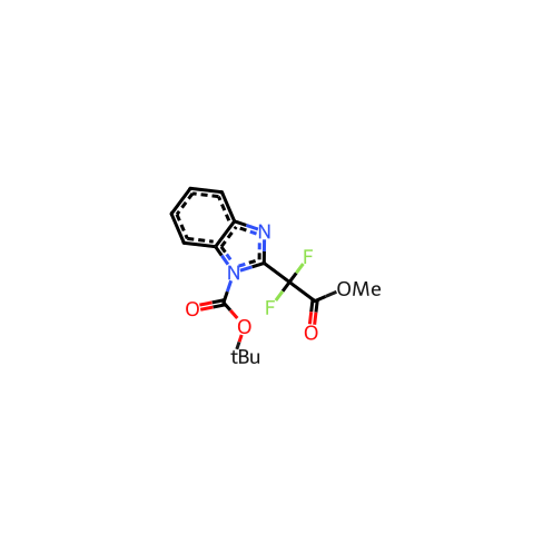 COC(=O)C(F)(F)c1nc2ccccc2n1C(=O)OC(C)(C)C